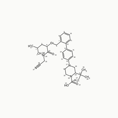 CC(C)CC(OCc1ccccc1-c1ccc(N2CCN(C(=O)O)C(C(C)(C)C)C2)cc1)C(=O)NCC#N